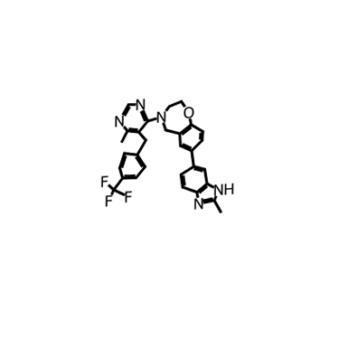 Cc1nc2ccc(-c3ccc4c(c3)CN(c3ncnc(C)c3Cc3ccc(C(F)(F)F)cc3)CCO4)cc2[nH]1